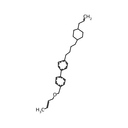 C=CCC1CCC(CCCCc2ccc(-c3ccc(COCC=CC)cc3)cc2)CC1